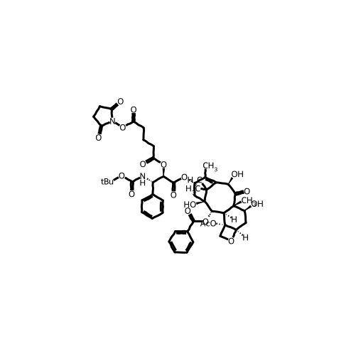 CC(=O)O[C@@]12CO[C@@H]1C[C@H](O)[C@@]1(C)C(=O)[C@H](O)C3=C(C)[C@@H](OC(=O)[C@H](OC(=O)CCCC(=O)ON4C(=O)CCC4=O)[C@@H](NC(=O)OC(C)(C)C)c4ccccc4)C[C@@](O)([C@@H](OC(=O)c4ccccc4)[C@H]21)C3(C)C